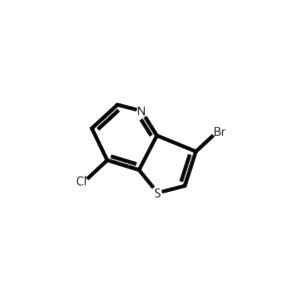 Clc1ccnc2c(Br)csc12